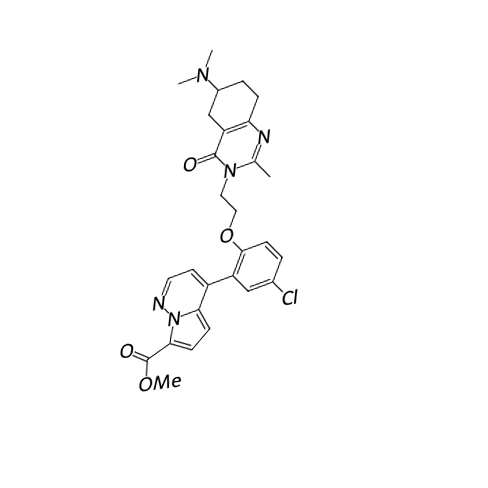 COC(=O)c1ccc2c(-c3cc(Cl)ccc3OCCn3c(C)nc4c(c3=O)CC(N(C)C)CC4)ccnn12